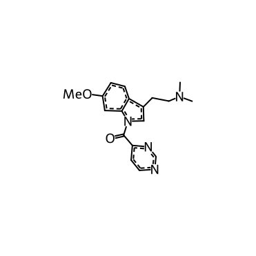 COc1ccc2c(CCN(C)C)cn(C(=O)c3ccncn3)c2c1